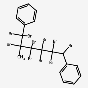 CC(Br)(C(Br)(Br)c1ccccc1)C(Br)(Br)C(Br)(Br)C(Br)(Br)C(Br)c1ccccc1